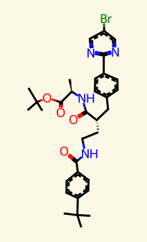 C[C@@H](NC(=O)[C@@H](CCNC(=O)c1ccc(C(C)(C)C)cc1)Cc1ccc(-c2ncc(Br)cn2)cc1)C(=O)OC(C)(C)C